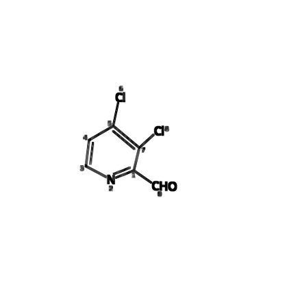 O=Cc1nccc(Cl)c1Cl